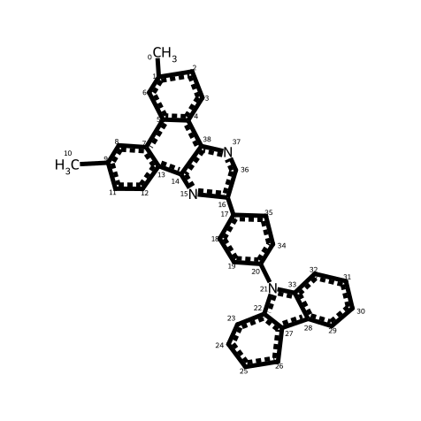 Cc1ccc2c(c1)c1cc(C)ccc1c1nc(-c3ccc(-n4c5ccccc5c5ccccc54)cc3)cnc21